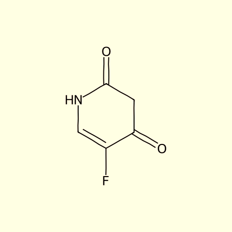 O=C1CC(=O)C(F)=CN1